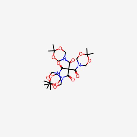 CC1(C)OCN(C(=O)C(C(=O)N2COC(C)(C)OC2)(C(=O)N2COC(C)(C)OC2)C(=O)N2COC(C)(C)OC2)CO1